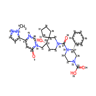 Cn1nccc1-c1cc(=O)n(C[C@]2(O)CCN(C(=O)N3CCN(C(=O)O)C[C@H]3c3ccccc3)CC23CCCC3)cn1